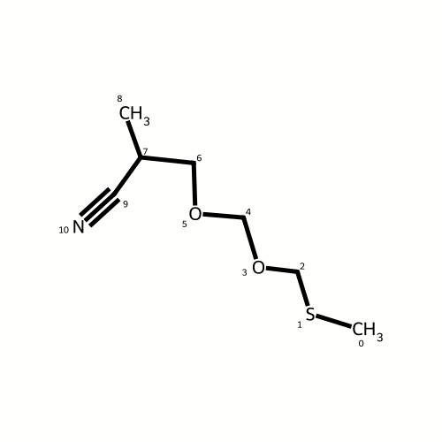 CSCOCOCC(C)C#N